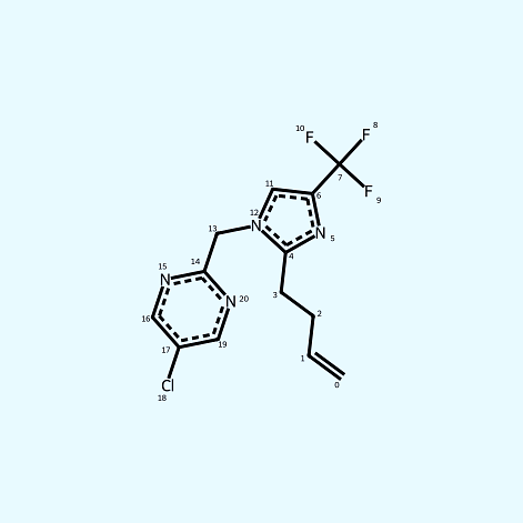 C=CCCc1nc(C(F)(F)F)cn1Cc1ncc(Cl)cn1